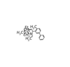 C=CN1C=C(S(C)(C)C)C(CC)=CC1c1cc(-c2ccccc2)ccc1C